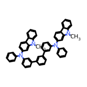 Cn1c2ccccc2c2ccc(N(c3ccccc3)c3cccc(-c4cccc(-c5cccc(N(c6ccccc6)c6ccc7c8ccccc8n(C)c7c6)c5)c4)c3)cc21